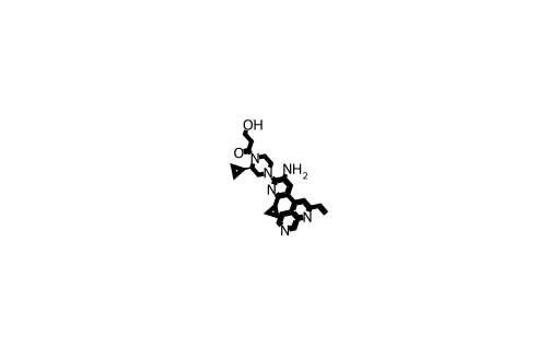 C=Cc1cc(-c2cc(N)c(N3CCN(C(=O)CCO)[C@H](C4CC4)C3)nc2C2CC2)c2ccncc2n1